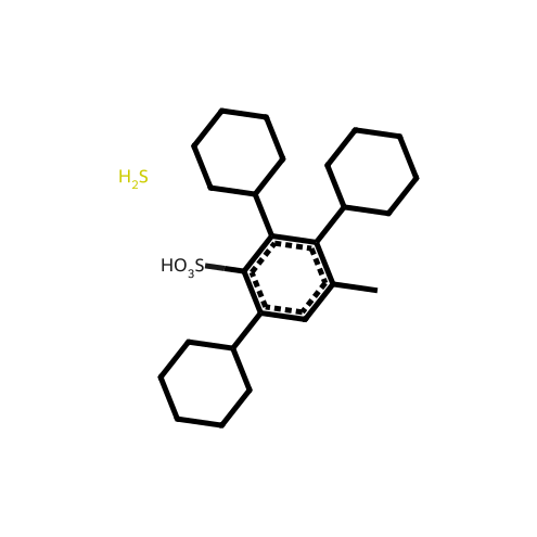 Cc1cc(C2CCCCC2)c(S(=O)(=O)O)c(C2CCCCC2)c1C1CCCCC1.S